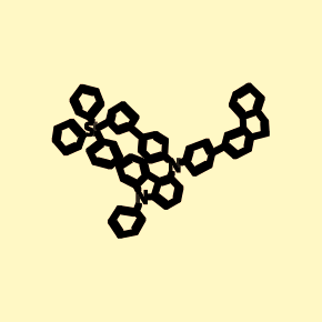 c1ccc(-n2c3ccccc3c3c(N(c4ccc(-c5cccc([Si](c6ccccc6)(c6ccccc6)c6ccccc6)c5)cc4)c4ccc(-c5ccc6ccc7ccccc7c6c5)cc4)cccc32)cc1